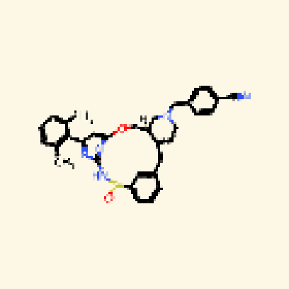 Cc1cccc(C)c1-c1cc2nc(n1)N[S+]([O-])c1cccc(c1)CC1CCN(Cc3ccc(C#N)cc3)C[C@@H]1CO2